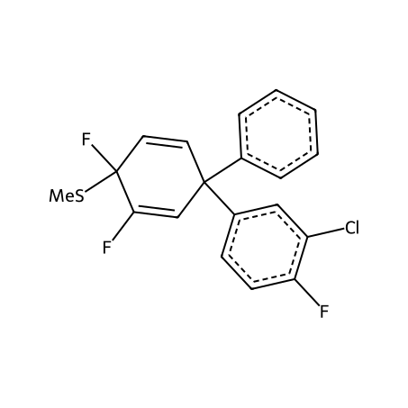 CSC1(F)C=CC(c2ccccc2)(c2ccc(F)c(Cl)c2)C=C1F